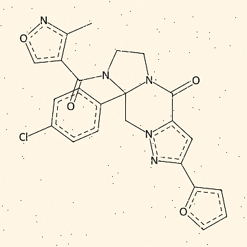 Cc1nocc1C(=O)N1CCN2C(=O)c3cc(-c4ccco4)nn3CC12c1ccc(Cl)cc1